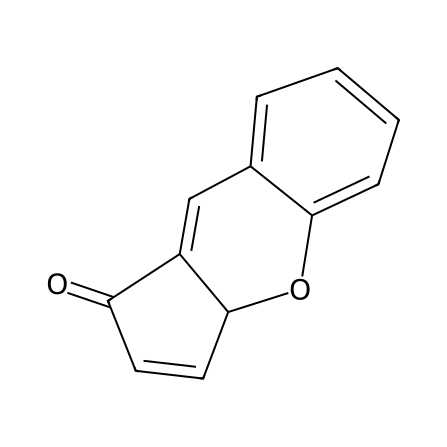 O=C1C=CC2Oc3ccccc3C=C12